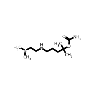 CN(C)CCNCCCC(C)(C)OC(N)=O